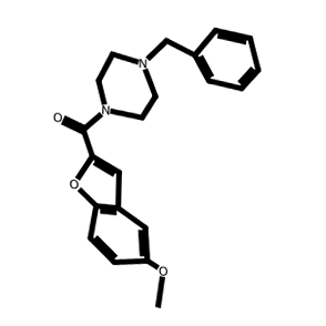 COc1ccc2oc(C(=O)N3CCN(Cc4ccccc4)CC3)cc2c1